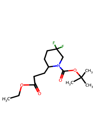 CCOC(=O)CCC1CCC(F)(F)CN1C(=O)OC(C)(C)C